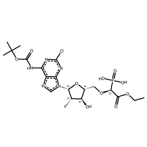 CCOC(=O)[C@@H](OC[C@H]1O[C@@H](n2cnc3c(NC(=O)OC(C)(C)C)nc(Cl)nc32)[C@@H](F)[C@@H]1O)P(=O)(O)O